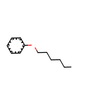 [CH2]CCCCCOc1ccccc1